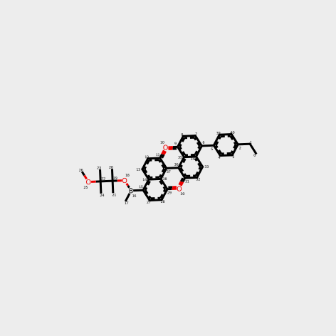 CCc1ccc(-c2ccc3oc4ccc5c(B(C)OC(C)(C)C(C)(C)OC)ccc6oc7ccc2c3c7-c4c65)cc1